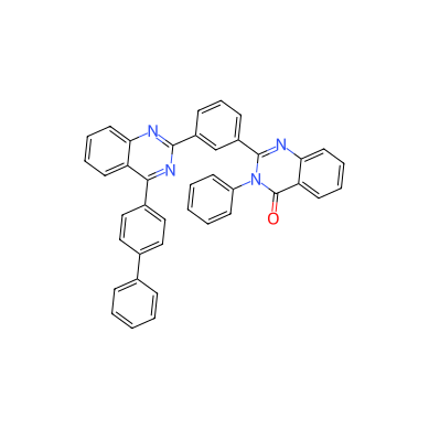 O=c1c2ccccc2nc(-c2cccc(-c3nc(-c4ccc(-c5ccccc5)cc4)c4ccccc4n3)c2)n1-c1ccccc1